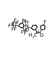 CN(C(=O)c1ccc(F)cc1)c1cccc(C(=O)Nc2c(Br)cc(C(F)(C(F)(F)F)C(F)(F)F)cc2C(F)(F)F)c1